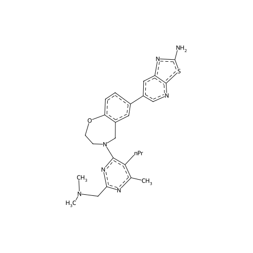 CCCc1c(C)nc(CN(C)C)nc1N1CCOc2ccc(-c3cnc4sc(N)nc4c3)cc2C1